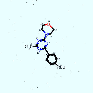 CC(C)(C)c1ccc(-c2nc(N3CCOCC3)nc(C(Cl)(Cl)Cl)n2)cc1